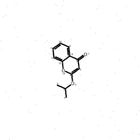 CC(C)Oc1cc(=O)c2ccccc2o1